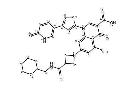 Cc1cc(N2CC(C(=O)NCC3CCCCO3)C2)nc2c1c(=O)c(C(=O)O)cn2-c1nc(-c2ccc(=O)[nH]c2)ns1